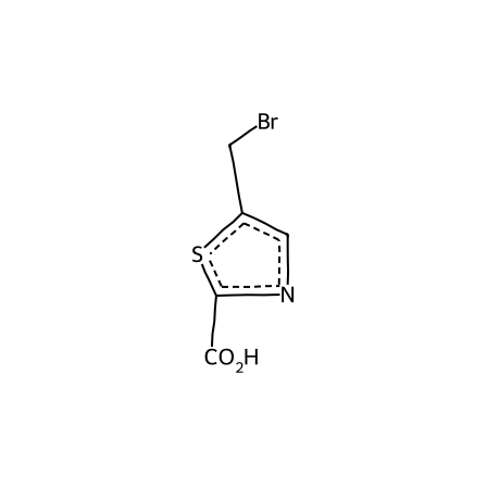 O=C(O)c1ncc(CBr)s1